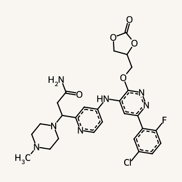 CN1CCN(C(CC(N)=O)c2cc(Nc3cc(-c4cc(Cl)ccc4F)nnc3OCC3COC(=O)O3)ccn2)CC1